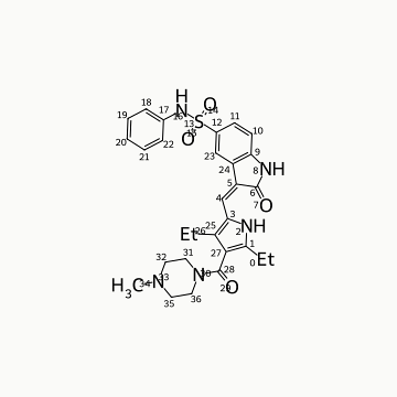 CCc1[nH]c(C=C2C(=O)Nc3ccc(S(=O)(=O)Nc4ccccc4)cc32)c(CC)c1C(=O)N1CCN(C)CC1